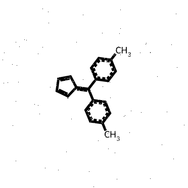 Cc1ccc(C(=C2[C]=CC=C2)c2ccc(C)cc2)cc1